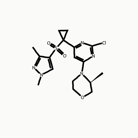 Cc1nn(C)cc1S(=O)(=O)C1(c2cc(N3CCOC[C@@H]3C)nc(Cl)n2)CC1